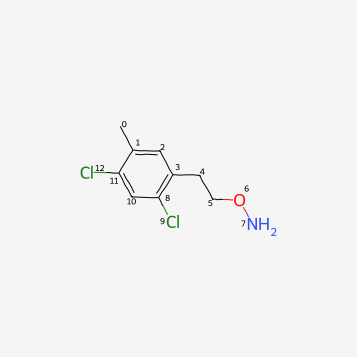 Cc1cc(CCON)c(Cl)cc1Cl